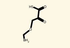 BCOCC(=O)C(=O)S